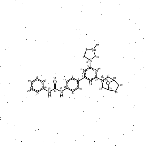 CN1CCN(c2nc(-c3ccc(NC(=O)Nc4cccnc4)cc3)nc(N3CC4CCC(C3)O4)n2)C1